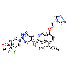 CC(C)c1ccc(OCCn2cnnc2)c2cnc(Nc3ccnc(N4CC[C@](C)(O)[C@H](F)C4)n3)cc12